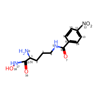 N[C@@H](CCCNC(=O)c1ccc([N+](=O)[O-])cc1)C(=O)NO